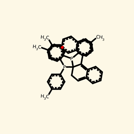 Cc1ccc(P(c2ccc(C)cc2)C2(P(c3ccc(C)cc3)c3ccc(C)cc3)CC=c3ccccc3=C2c2cccc3ccccc23)cc1